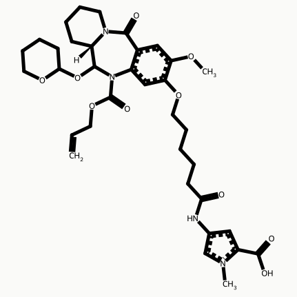 C=CCOC(=O)N1c2cc(OCCCCCC(=O)Nc3cc(C(=O)O)n(C)c3)c(OC)cc2C(=O)N2CCCC[C@H]2C1OC1CCCCO1